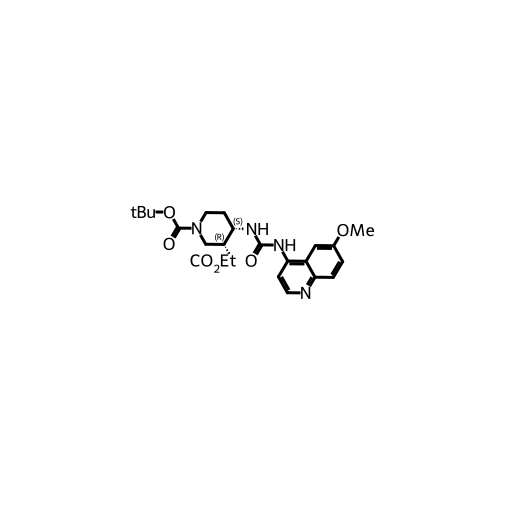 CCOC(=O)[C@@H]1CN(C(=O)OC(C)(C)C)CC[C@@H]1NC(=O)Nc1ccnc2ccc(OC)cc12